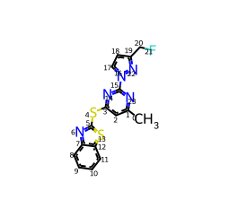 Cc1cc(Sc2nc3ccccc3s2)nc(-n2ccc(CF)n2)n1